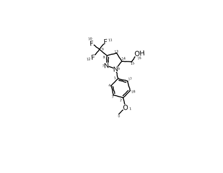 COc1ccc(N2N=C(C(F)(F)F)CC2CO)cc1